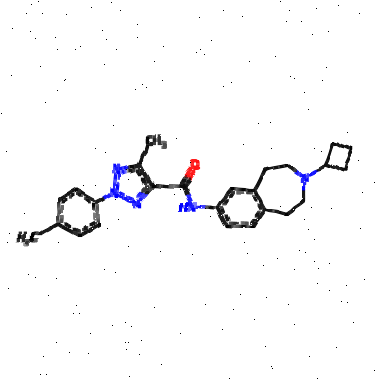 Cc1ccc(-n2nc(C)c(C(=O)Nc3ccc4c(c3)CCN(C3CCC3)CC4)n2)cc1